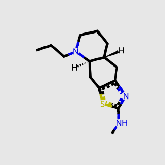 CCCN1CCC[C@@H]2Cc3nc(NC)sc3C[C@H]21